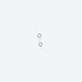 COC(=O)CCS(=O)(=O)c1ccc(C=Cc2ccc(N(C)CCCCCCO)cc2)cc1